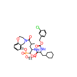 CCOP(=O)(OCC)C(O)C(CC(C)C(=O)N1CCOc2ccccc2C1)NC(=O)C(CC1CCCCC1)NC(=O)OCc1cccc(Cl)c1